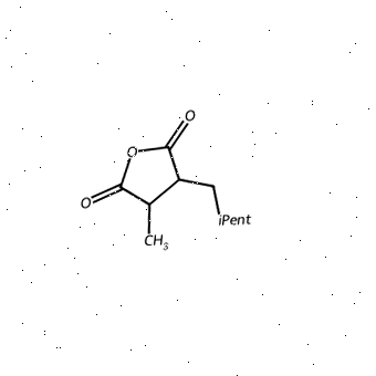 CCCC(C)CC1C(=O)OC(=O)C1C